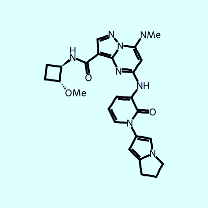 CNc1cc(Nc2cccn(-c3cc4n(c3)CCC4)c2=O)nc2c(C(=O)N[C@@H]3CC[C@H]3OC)cnn12